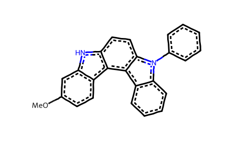 COc1ccc2c(c1)[nH]c1ccc3c(c4ccccc4n3-c3ccccc3)c12